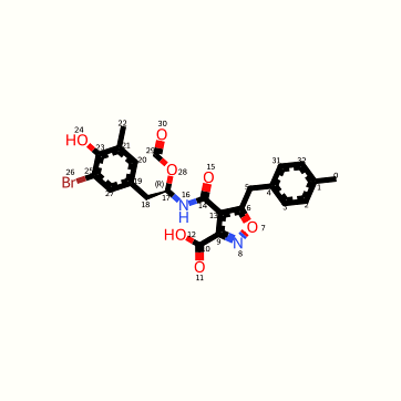 Cc1ccc(Cc2onc(C(=O)O)c2C(=O)N[C@@H](Cc2cc(C)c(O)c(Br)c2)OC=O)cc1